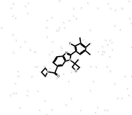 Cc1cc(-c2nc3ccc(C(=O)N4CCC4)cc3n2C2(C)COC2)c(F)c(C)c1C